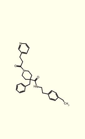 CCc1ccc(CCNC(=O)C2(Cc3ccccc3)CCN(C(=O)CCc3cccnc3)CC2)cc1